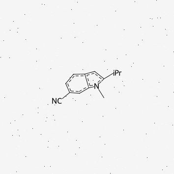 CC(C)c1cc2ccc(C#N)cc2n1C